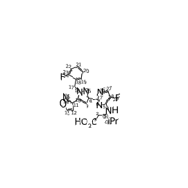 CC(C)[C@H](CC(=O)O)Nc1nc(-c2cc(-c3ccon3)n(Cc3ccccc3F)n2)ncc1F